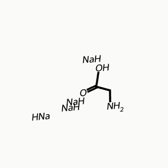 NCC(=O)O.[NaH].[NaH].[NaH].[NaH]